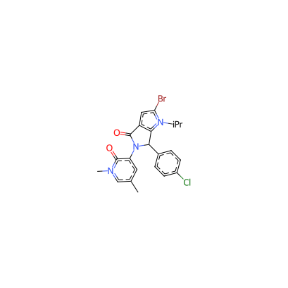 Cc1cc(N2C(=O)c3cc(Br)n(C(C)C)c3C2c2ccc(Cl)cc2)c(=O)n(C)c1